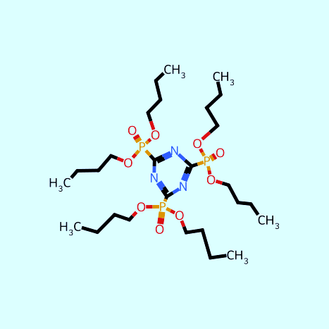 CCCCOP(=O)(OCCCC)c1nc(P(=O)(OCCCC)OCCCC)nc(P(=O)(OCCCC)OCCCC)n1